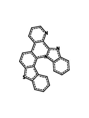 c1ccc2c(c1)nc1c3ncccc3c3ccc4sc5ccccc5c4c3n21